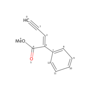 C#CC=C(C(=O)OC)c1ccccc1